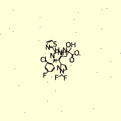 COC(=O)C(N)(CO)CC1=C(c2ccn(C(F)F)n2)[C@H](c2ccc(F)cc2Cl)N=C(c2nccs2)N1